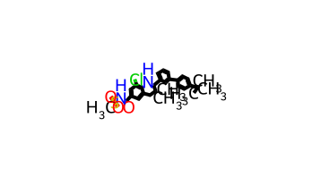 CC(C)(C)c1ccc(-c2cccc(C3Nc4c(Cl)cc(C(=O)NS(C)(=O)=O)cc4CC3(C)C)c2)cc1